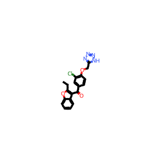 CCc1oc2ccccc2c1C(=O)c1ccc(OCc2nnn[nH]2)c(Cl)c1